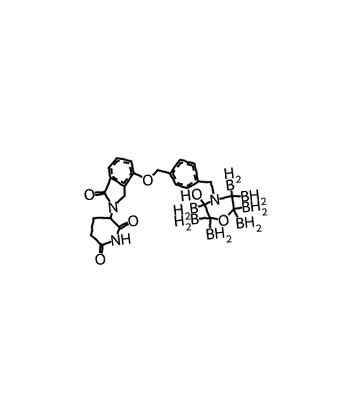 BC1(B)OC(B)(B)C(B)(O)N(Cc2ccc(COc3cccc4c3CN(C3CCC(=O)NC3=O)C4=O)cc2)C1(B)B